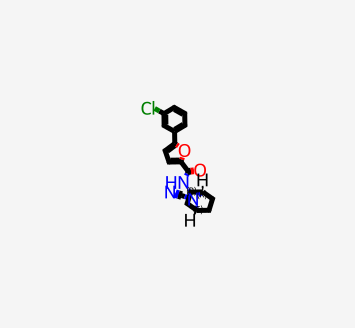 N#CN1[C@H]2CC[C@@H]1[C@H](NC(=O)c1ccc(-c3cccc(Cl)c3)o1)C2